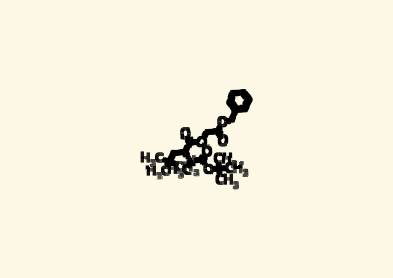 CN(C(=O)OC(C)(C)C)C(CC(C)(C)C)C(=O)OCC(=O)OCc1ccccc1